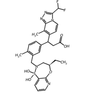 CC[C@@H]1CN(Cc2cc(C(CC(=O)O)c3ccn4c(C(F)F)nnc4c3C)ccc2C)S(O)(O)c2cccnc2O1